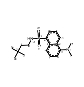 CN(C)c1cccc2c(S(=O)(=O)NCCC(C)(C)C)cccc12